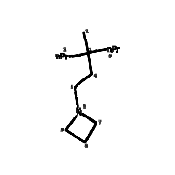 CCCC(C)(CCC)CCN1CCC1